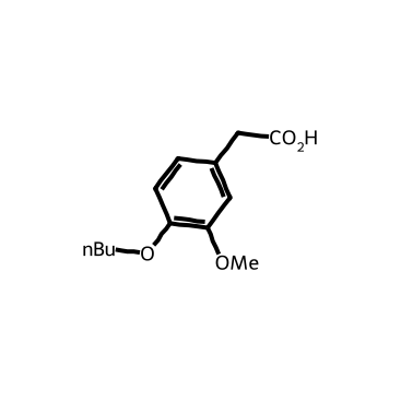 CCCCOc1ccc(CC(=O)O)cc1OC